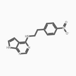 O=[N+]([O-])c1ccc(CCNc2ncnc3[nH]ccc23)cc1